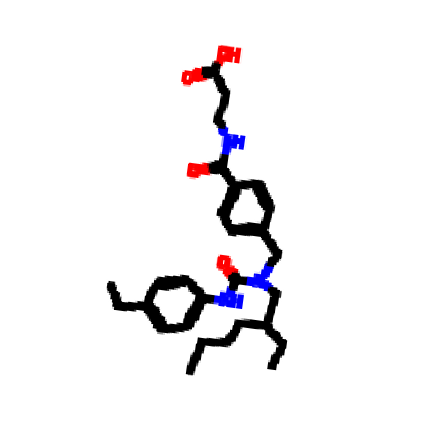 CCCCC(CC)CN(Cc1ccc(C(=O)NCCC(=O)O)cc1)C(=O)Nc1ccc(CC)cc1